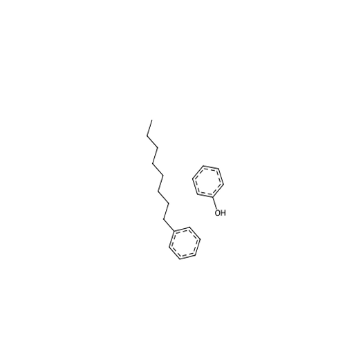 CCCCCCCCc1ccccc1.Oc1ccccc1